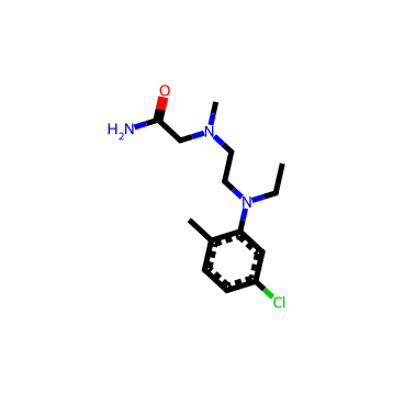 CCN(CCN(C)CC(N)=O)c1cc(Cl)ccc1C